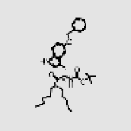 CCCCCN(CCCCC)C(=O)[C@H](Cc1c[nH]c2ccc(OCc3ccccc3)cc12)NC(=O)OC(C)(C)C